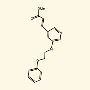 COC(=O)/C=C/c1cncc(NCCOc2ccccc2)n1